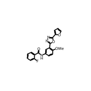 COc1ccc(NC(=O)c2ccccc2F)cc1-c1nnc(-c2ccco2)o1